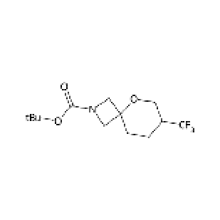 CC(C)(C)OC(=O)N1CC2(CCC(C(F)(F)F)CO2)C1